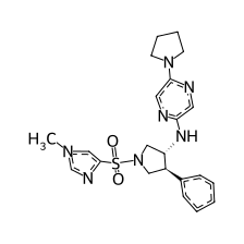 Cn1cnc(S(=O)(=O)N2C[C@H](Nc3cnc(N4CCCC4)cn3)[C@@H](c3ccccc3)C2)c1